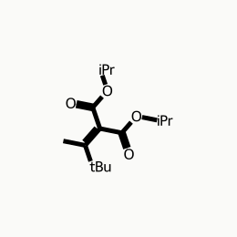 CC(=C(C(=O)OC(C)C)C(=O)OC(C)C)C(C)(C)C